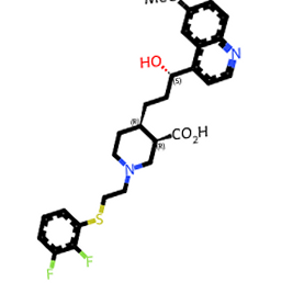 COc1ccc2nccc([C@@H](O)CC[C@@H]3CCN(CCSc4cccc(F)c4F)C[C@@H]3C(=O)O)c2c1